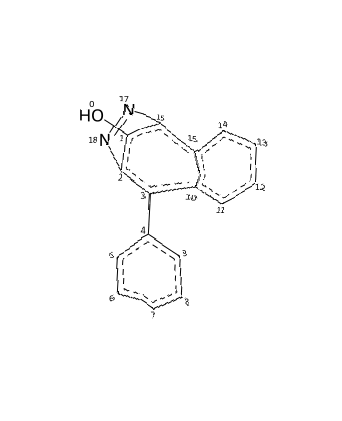 Oc1c2c(-c3ccccc3)c3ccccc3c1N=N2